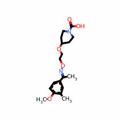 COc1ccc(C(C)=NOCCOC2CCN(C(=O)O)CC2)cc1C